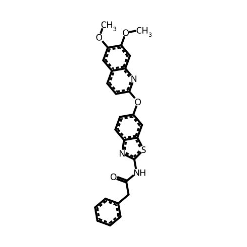 COc1cc2ccc(Oc3ccc4nc(NC(=O)Cc5ccccc5)sc4c3)nc2cc1OC